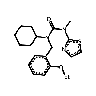 CCOc1ccccc1CN(C(=O)N(C)c1nccs1)C1CCCCC1